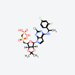 CC(Nc1nc(Cl)nc2c1ccn2[C@@H]1O[C@H](CS(=O)(=O)CP(=O)(O)O)[C@H]2OC(C)(C)O[C@H]21)c1ccc(F)cc1F